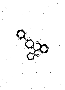 [O-][N+]1(C(c2ccccc2Cl)N2CCN(c3ncccn3)CC2)CCCC1